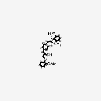 COc1ccccc1OCC(O)CN1CCN(C/C(=N/c2c(C)cccc2C)OC(C)C)CC1